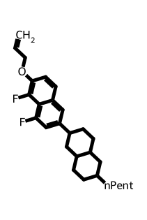 C=CCOc1ccc2cc(C3CCC4CC(CCCCC)CCC4C3)cc(F)c2c1F